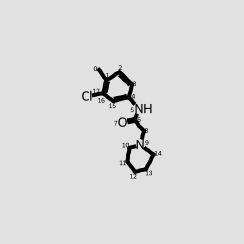 Cc1ccc(NC(=O)CN2CCCCC2)cc1Cl